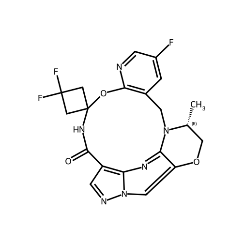 C[C@@H]1COc2cn3ncc4c3nc2N1Cc1cc(F)cnc1OC1(CC(F)(F)C1)NC4=O